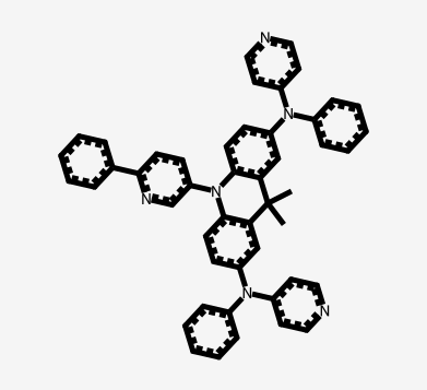 CC1(C)c2cc(N(c3ccccc3)c3ccncc3)ccc2N(c2ccc(-c3ccccc3)nc2)c2ccc(N(c3ccccc3)c3ccncc3)cc21